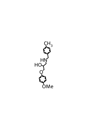 COc1ccc(OCC(O)CNCc2ccc(C)cc2)cc1